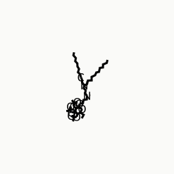 CCCCCCCCCCCCN(CCCCCCCCCCCC)CCCN(C)CCCOC1OC(CC)C(OC(C)=O)C(OC(C)=O)C1OC(C)=O